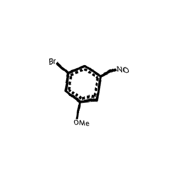 COc1cc(Br)cc(N=O)c1